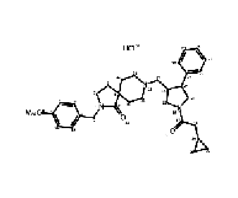 COc1ccc(CN2CCC3(CCN(CC4CN(C(=O)CC5CC5)CC4c4ccccc4)CC3)C2=O)cc1.Cl